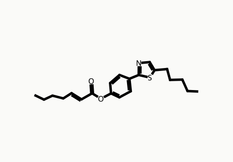 CCCCC=CC(=O)Oc1ccc(-c2ncc(CCCCC)s2)cc1